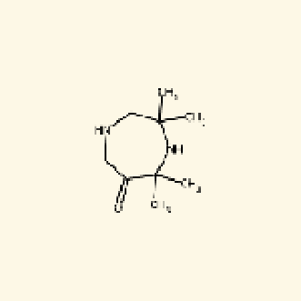 CC1(C)CNCC(=O)C(C)(C)N1